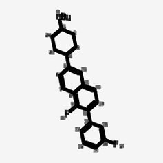 CCCCC1CCC(c2ccc3c(F)c(-c4cccc(F)c4)ccc3c2)CC1